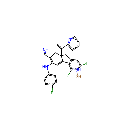 C=C(c1ccccn1)C1(Cc2cc(F)cc(F)c2)CC(C=N)=C(Nc2ccc(F)cc2)C=C1CCNS